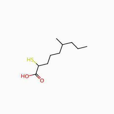 CCCC(C)CCCC(S)C(=O)O